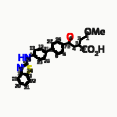 COCCC(CC(=O)c1ccc(-c2ccc(Nc3nc4ccccc4s3)cc2)cc1)C(=O)O